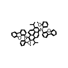 COc1ccccc1N(c1cc(C(C)C)c2ccc3c(N(c4ccccc4OC)c4cccc5c4oc4ccccc45)cc(C(C)C)c4ccc1c2c43)c1cccc2c1oc1ccccc12